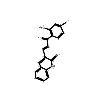 COc1cc(F)ccc1C(=O)/C=C/c1cc2ccccc2[nH]c1=O